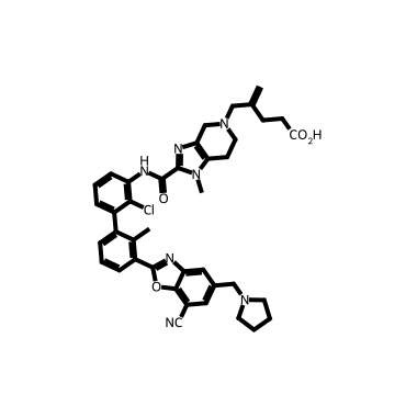 C=C(CCC(=O)O)CN1CCc2c(nc(C(=O)Nc3cccc(-c4cccc(-c5nc6cc(CN7CCCC7)cc(C#N)c6o5)c4C)c3Cl)n2C)C1